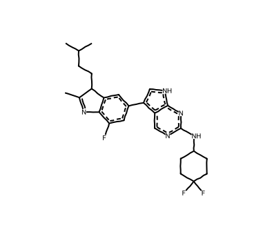 CC1=Nc2c(F)cc(-c3c[nH]c4nc(NC5CCC(F)(F)CC5)ncc34)cc2C1CCC(C)C